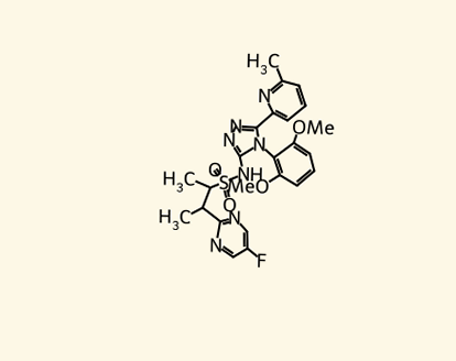 COc1cccc(OC)c1-n1c(NS(=O)(=O)C(C)C(C)c2ncc(F)cn2)nnc1-c1cccc(C)n1